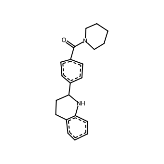 O=C(c1ccc(C2CCc3ccccc3N2)cc1)N1CCCCC1